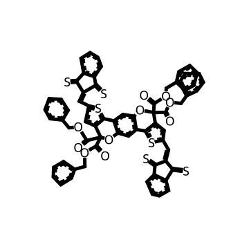 O=C(OCc1ccccc1)C1(C(=O)OCc2ccccc2)Oc2cc3c(cc2-c2sc(C=C4C(=S)c5ccccc5C4=S)cc21)OC(C(=O)OCc1ccccc1)(C(=O)OCc1ccccc1)c1cc(C=C2C(=S)c4ccccc4C2=S)sc1-3